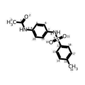 CC(=O)Nc1ccc(NS(=O)(=O)c2ccc(C)cc2)cc1